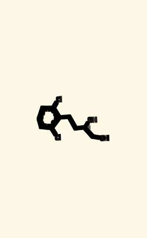 OC[C@H](O)CCc1c(Cl)cccc1Cl